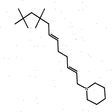 CC(C)(C)CC(C)(C)C/C=C/CC/C=C/CN1CCCCC1